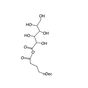 CCCCCCCCCCCCCC(=O)OC(=O)C(O)C(O)C(O)C(O)CO